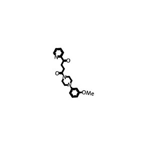 COc1cccc(N2CCN(C(=O)CCC(=O)c3ccccn3)CC2)c1